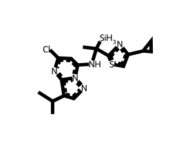 CC(C)c1cnn2c(NC(C)([SiH3])c3nc(C4CC4)cs3)cc(Cl)nc12